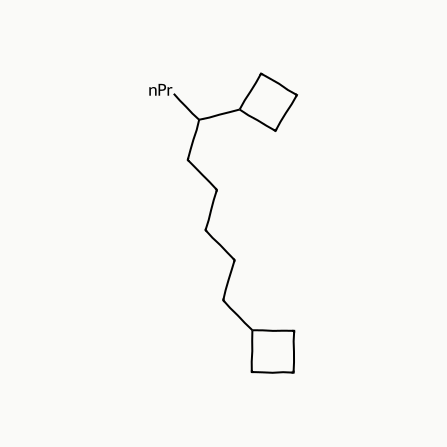 CCCC(CCCCCC1CCC1)C1CCC1